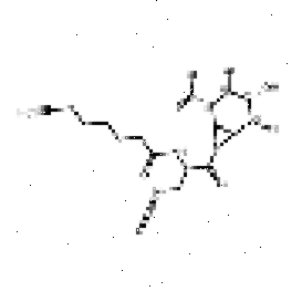 C#CCCCCCC(=O)NC(CN=[N+]=[N-])C(=O)N1C2C1[C@H](C(=O)O)[C@@H](O)[C@H](O)[C@H]2O